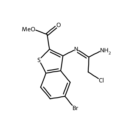 COC(=O)c1sc2ccc(Br)cc2c1/N=C(/N)CCl